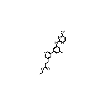 CCOC(=O)CCc1cncc(-c2cc(C)cc(Nc3nccc(OC)n3)c2)c1